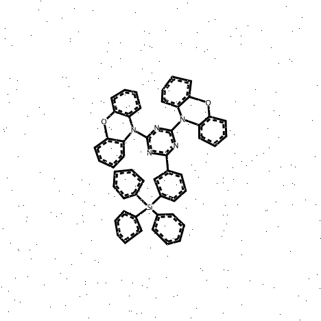 c1ccc([Si](c2ccccc2)(c2ccccc2)c2cccc(-c3nc(N4c5ccccc5Oc5ccccc54)nc(N4c5ccccc5Oc5ccccc54)n3)c2)cc1